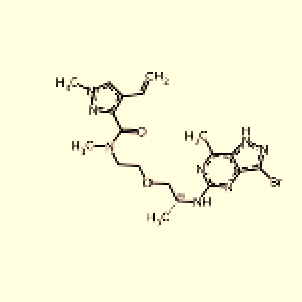 C=Cc1cn(C)nc1C(=O)N(C)CCOC[C@@H](C)Nc1nc(C)c2[nH]nc(Br)c2n1